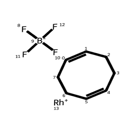 C1=CCCC=CCC1.F[B-](F)(F)F.[Rh+]